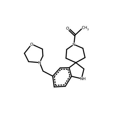 CC(=O)N1CCC2(CC1)CNc1ccc(CN3CCOCC3)cc12